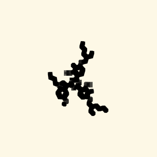 CCCCC(CC)COc1ccc(-c2nc(-c3ccc(OCC(CC)CCCC)c(C)c3O)nc(-c3cn(CCCC)c4ccc(OC)cc34)n2)c(O)c1C